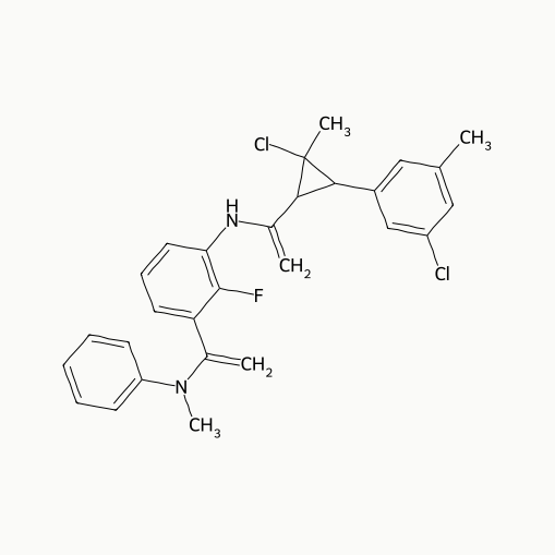 C=C(Nc1cccc(C(=C)N(C)c2ccccc2)c1F)C1C(c2cc(C)cc(Cl)c2)C1(C)Cl